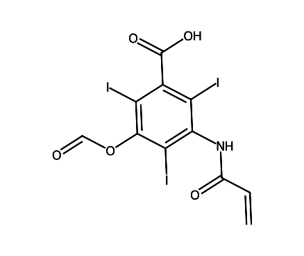 C=CC(=O)Nc1c(I)c(OC=O)c(I)c(C(=O)O)c1I